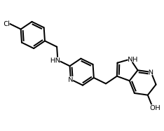 OC1C=c2c(Cc3ccc(NCc4ccc(Cl)cc4)nc3)c[nH]c2=NC1